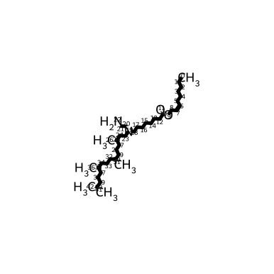 CCCCCC/C=C\COC(=O)CCCCCCCN(CCN)CCC(C)CCCC(C)CCCC(C)CCCC(C)C